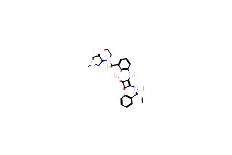 CC[C@@H](Nc1c(Nc2cccc(C(=O)N3CCO[C@@H]4CN(C)C[C@H]43)c2O)c(=O)c1=O)c1ccccc1